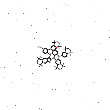 Cc1cc2c3c(c1)N(c1ccc(C(C)(C)C)cc1-c1ccc4c(c1)C(C)(C)CCC4(C)C)c1c(oc4cc5c(cc14)C(C)(C)CCC5(C)C)B3c1cc3c(cc1N2c1ccc2c(c1)C(C)(C)CCC2(C)C)C(C)(C)CCC3(C)C